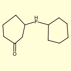 O=C1CCCC(PC2CCCCC2)C1